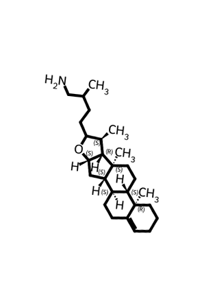 CC(CN)CCC1O[C@H]2C[C@H]3[C@@H]4CCC5=CCCC[C@]5(C)[C@H]4CC[C@]3(C)[C@H]2[C@@H]1C